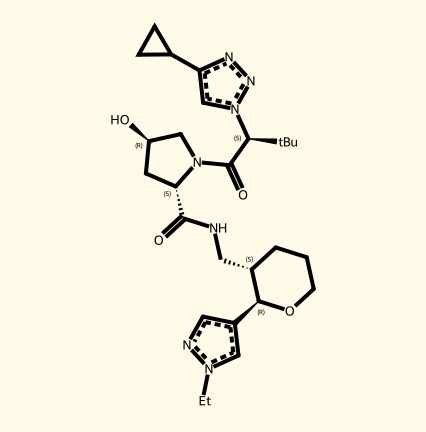 CCn1cc([C@@H]2OCCC[C@H]2CNC(=O)[C@@H]2C[C@@H](O)CN2C(=O)[C@@H](n2cc(C3CC3)nn2)C(C)(C)C)cn1